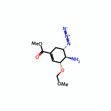 COCO[C@@H]1C=C(C(=O)OC)C[C@H](N=[N+]=[N-])[C@H]1N